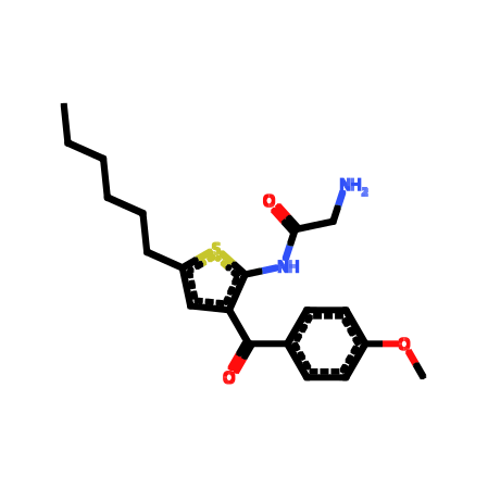 CCCCCCc1cc(C(=O)c2ccc(OC)cc2)c(NC(=O)CN)s1